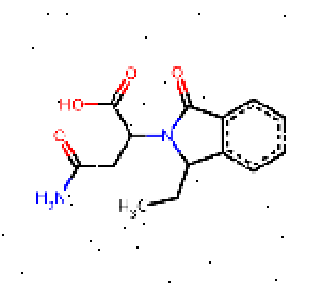 CCC1c2ccccc2C(=O)N1C(CC(N)=O)C(=O)O